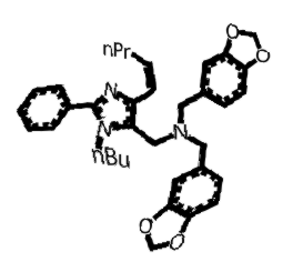 CCC/C=C\c1nc(-c2ccccc2)n(CCCC)c1CN(Cc1ccc2c(c1)OCO2)Cc1ccc2c(c1)OCO2